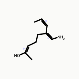 C/C=C\C(=C/N)CC/C=C(\C)O